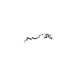 CCCCCCCCCC[N+](C)(C)CCOP(=O)(O)O